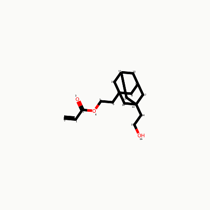 C=CC(=O)OCCC12CC3CC(CC(CCO)(C3)C1)C2